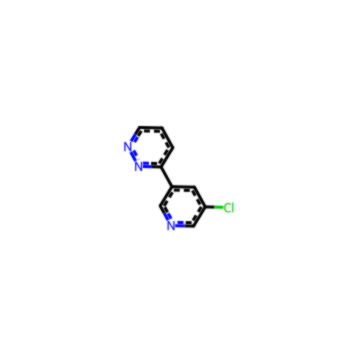 Clc1cncc(-c2cccnn2)c1